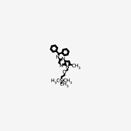 Cc1cc2nc(N=C(c3ccccc3)c3ccccc3)cnc2n1COCC[Si](C)(C)C